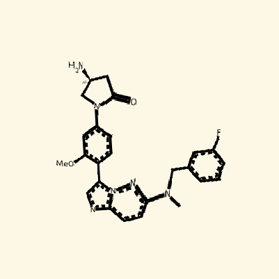 COc1cc(N2C[C@@H](N)CC2=O)ccc1-c1cnc2ccc(N(C)Cc3cccc(F)c3)nn12